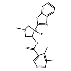 Cc1cncc(C(=O)OC2CN(C)C[N+]2([O-])c2nc3ccccc3s2)c1C